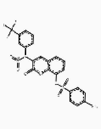 Nc1ccc(S(=O)(=O)Oc2cccc3cc(N(c4cccc(C(F)(F)F)c4)[SH](=O)=O)c(=O)oc23)cc1